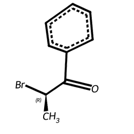 C[C@@H](Br)C(=O)c1ccccc1